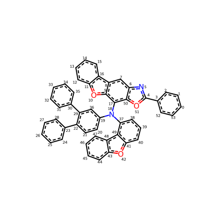 c1ccc(-c2nc3cc4c(oc5ccccc54)c(N(c4ccc(-c5ccccc5)c(-c5ccccc5)c4)c4cccc5oc6ccccc6c45)c3o2)cc1